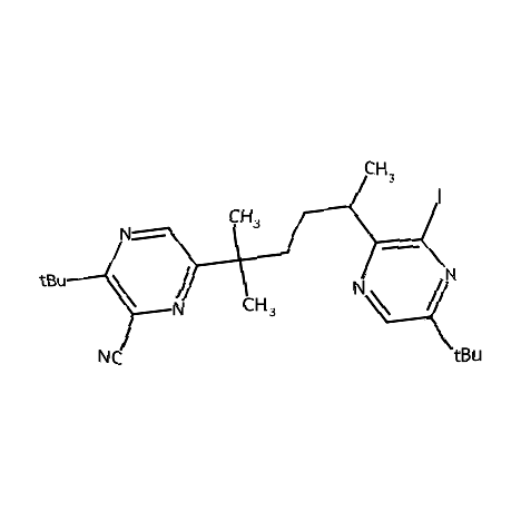 CC(CCC(C)(C)c1cnc(C(C)(C)C)c(C#N)n1)c1ncc(C(C)(C)C)nc1I